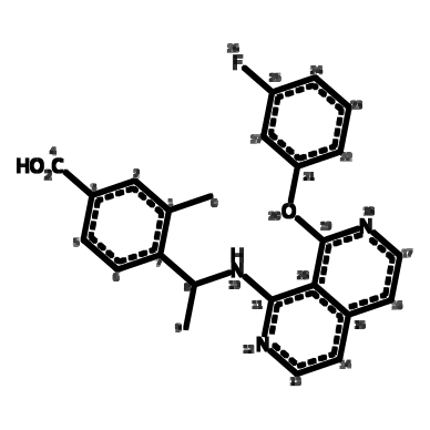 Cc1cc(C(=O)O)ccc1C(C)Nc1nccc2ccnc(Oc3cccc(F)c3)c12